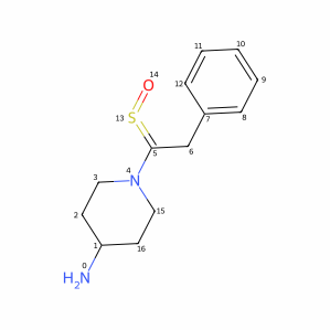 NC1CCN(C(Cc2ccccc2)=S=O)CC1